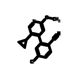 COc1cc(-c2cc(Cl)ccc2C#N)c(C2CC2)cn1